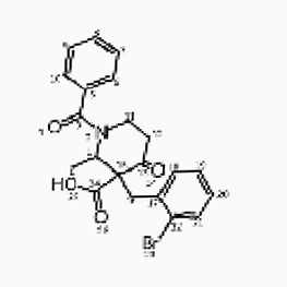 CC1N(C(=O)c2ccccc2)CCC(=O)C1(Cc1ccccc1Br)C(=O)O